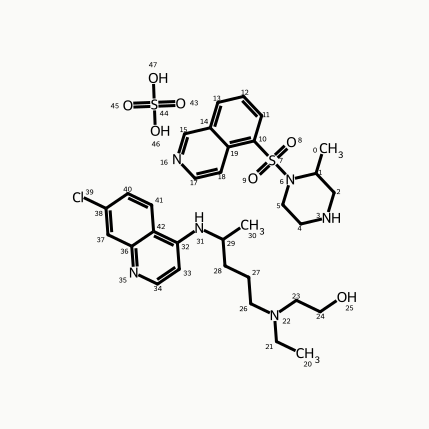 CC1CNCCN1S(=O)(=O)c1cccc2cnccc12.CCN(CCO)CCCC(C)Nc1ccnc2cc(Cl)ccc12.O=S(=O)(O)O